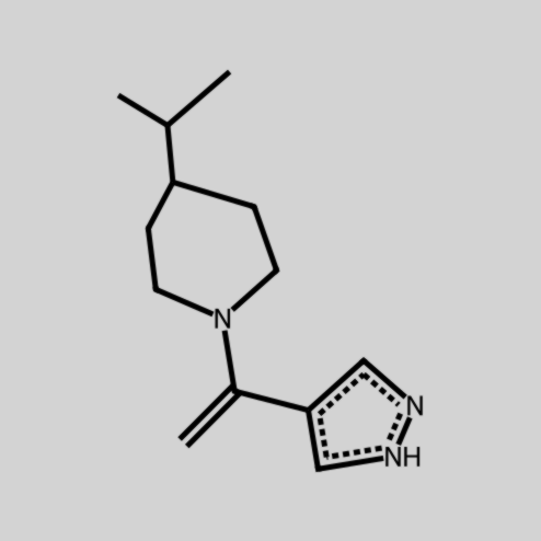 C=C(c1cn[nH]c1)N1CCC(C(C)C)CC1